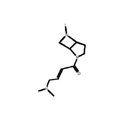 CN(C)C/C=C/C(=O)N1CCC2C1CN2I